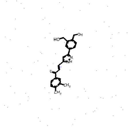 Cc1ccc(C(=O)/C=C/c2cc(-c3ccc(CO)c(CO)c3)n[nH]2)cc1C